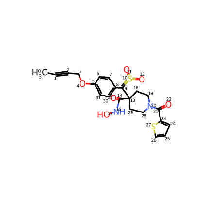 CC#CCOc1ccc(C(=S(=O)=O)C2(C(=O)NO)CCN(C(=O)c3cccs3)CC2)cc1